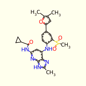 Cc1nc2c(Nc3ccc(-c4cc(C)c(C)o4)cc3S(C)(=O)=O)cc(NC(=O)C3CC3)nc2[nH]1